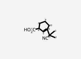 CC(C)(C#N)C1=CC(C(=O)O)CCC1